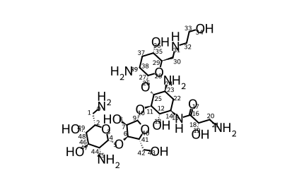 NC[C@@H]1O[C@H](O[C@H]2[C@@H](O)[C@H](O[C@@H]3[C@@H](O)[C@H](NC(=O)[C@@H](O)CN)C[C@H](N)[C@H]3O[C@H]3O[C@H](CNCCO)[C@@H](O)C[C@H]3N)O[C@@H]2CO)[C@H](N)[C@@H](O)[C@@H]1O